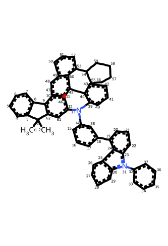 CC1(C)c2ccccc2-c2ccc(N(c3cccc(-c4cccc5c4c4ccccc4n5-c4ccccc4)c3)c3ccccc3-c3cccc4cccc(C5CCCCC5)c34)cc21